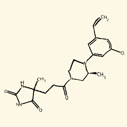 C=Cc1cc(Cl)cc(N2CCN(C(=O)CCC3(C)NC(=O)NC3=O)C[C@@H]2C)c1